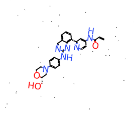 C=CC(=O)Nc1ccnc(-c2cccc3cnc(Nc4ccc(N5CCO[C@@H](CO)C5)cc4)nc23)c1